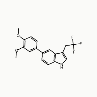 COc1ccc(-c2ccc3[nH]cc(CC(F)(F)F)c3c2)cc1OC